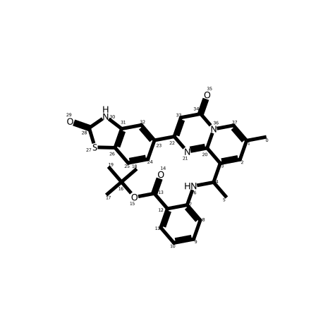 Cc1cc(C(C)Nc2ccccc2C(=O)OC(C)(C)C)c2nc(-c3ccc4sc(=O)[nH]c4c3)cc(=O)n2c1